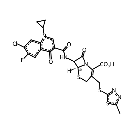 Cc1nnc(SCC2=C(C(=O)O)N3C(=O)C(NC(=O)c4cn(C5CC5)c5cc(Cl)c(F)cc5c4=O)[C@@H]3SC2)s1